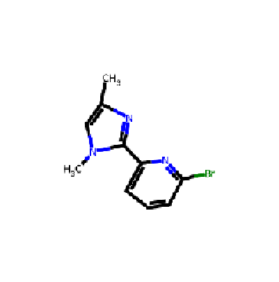 Cc1cn(C)c(-c2cccc(Br)n2)n1